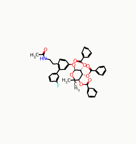 CC(=O)NCCc1ccc(O[C@@H]2OC(C)(C)[C@H](OC(=O)c3ccccc3)[C@@H](OC(=O)c3ccccc3)[C@H]2OC(=O)c2ccccc2)cc1-c1cccc(F)c1